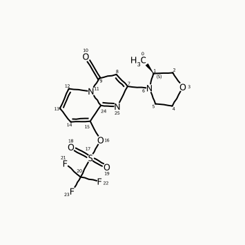 C[C@H]1COCCN1c1cc(=O)n2cccc(OS(=O)(=O)C(F)(F)F)c2n1